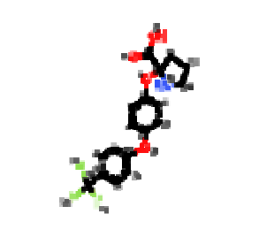 O=C(O)[C@]1(Oc2ccc(Oc3ccc(C(F)(F)F)cc3)cc2)CCCN1